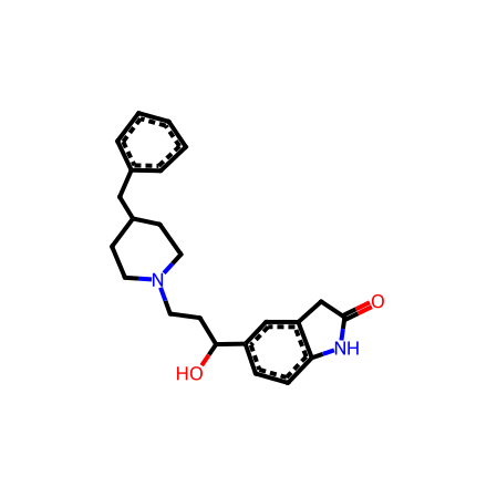 O=C1Cc2cc(C(O)CCN3CCC(Cc4ccccc4)CC3)ccc2N1